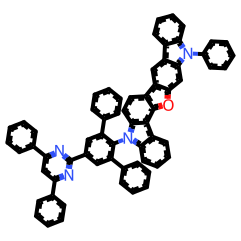 c1ccc(-c2cc(-c3ccccc3)nc(-c3cc(-c4ccccc4)c(-n4c5ccccc5c5c6oc7cc8c(cc7c6ccc54)c4ccccc4n8-c4ccccc4)c(-c4ccccc4)c3)n2)cc1